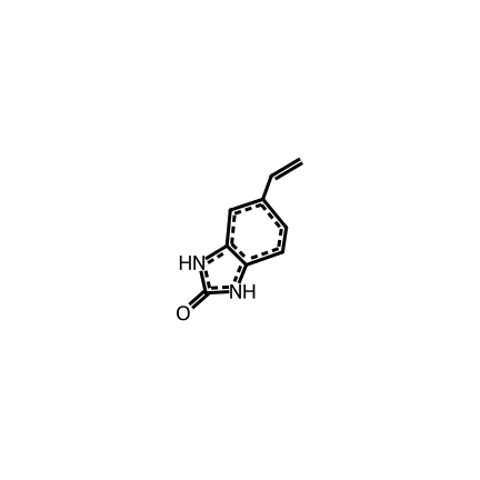 C=Cc1ccc2[nH]c(=O)[nH]c2c1